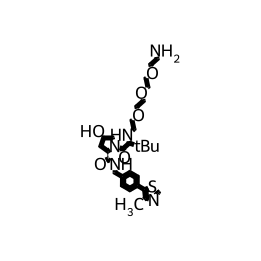 Cc1ncsc1-c1ccc(CNC(=O)[C@@H]2C[C@@H](O)CN2C(=O)C(NCCOCCOCCOCCN)C(C)(C)C)cc1